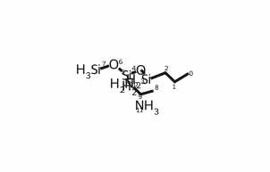 CCC[SiH2]O[SiH2]O[SiH3].CCN.N